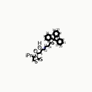 CC(C)C1CSC(=S)N1C(=O)CC(O)/C=C/CCSC(c1ccccc1)(c1ccccc1)c1ccccc1